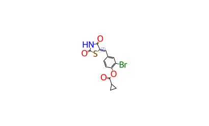 O=C1NC(=O)/C(=C/c2ccc(OC(=O)C3CC3)c(Br)c2)S1